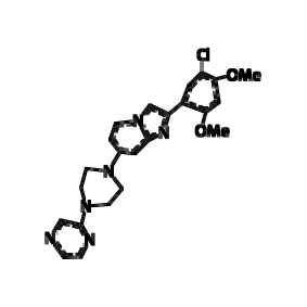 COc1cc(OC)c(-c2cn3ccc(N4CCN(c5cnccn5)CC4)cc3n2)cc1Cl